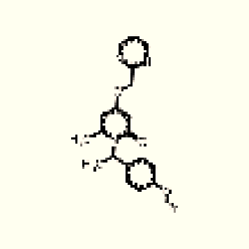 Cc1cc(OCc2ncccn2)cc(=O)n1C(C)c1ccc(OC(C)C)cc1